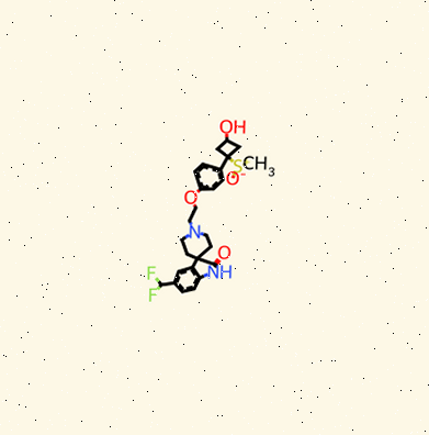 C[S+]([O-])C1(c2ccc(OCCN3CCC4(CC3)C(=O)Nc3ccc(C(F)F)cc34)cc2)CC(O)C1